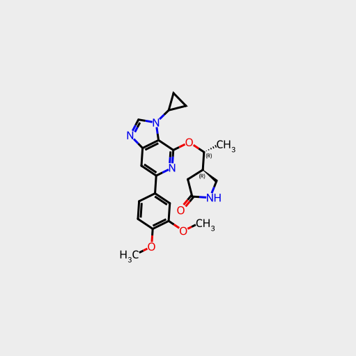 COc1ccc(-c2cc3ncn(C4CC4)c3c(O[C@H](C)[C@H]3CNC(=O)C3)n2)cc1OC